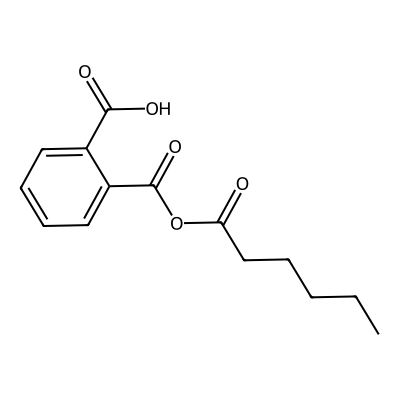 CCCCCC(=O)OC(=O)c1ccccc1C(=O)O